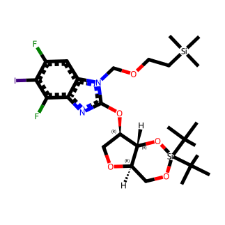 CC(C)(C)[Si]1(C(C)(C)C)OC[C@H]2OC[C@@H](Oc3nc4c(F)c(I)c(F)cc4n3COCC[Si](C)(C)C)[C@@H]2O1